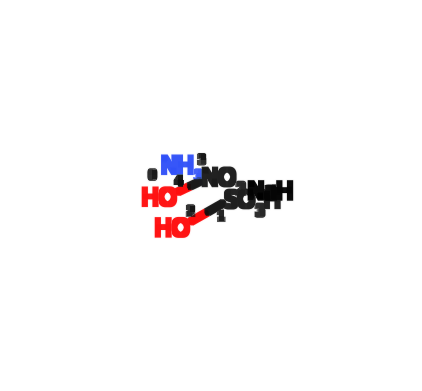 N.O=S(=O)(O)O.O=[N+]([O-])O.[NaH]